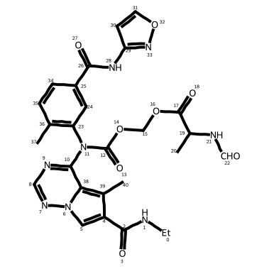 CCNC(=O)c1cn2ncnc(N(C(=O)OCOC(=O)C(C)NC=O)c3cc(C(=O)Nc4ccon4)ccc3C)c2c1C